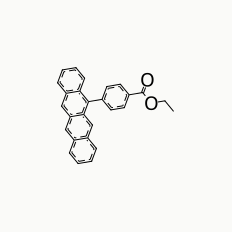 CCOC(=O)c1ccc(-c2c3ccccc3cc3cc4ccccc4cc23)cc1